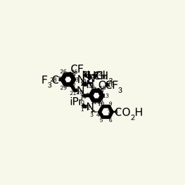 CC(C)CN(C[C@H]1CC[C@H](C(=O)O)CC1)c1ccc(OC(F)(F)F)cc1CN(Cc1cc(C(F)(F)F)cc(C(F)(F)F)c1)c1nnn(C)n1.Cl